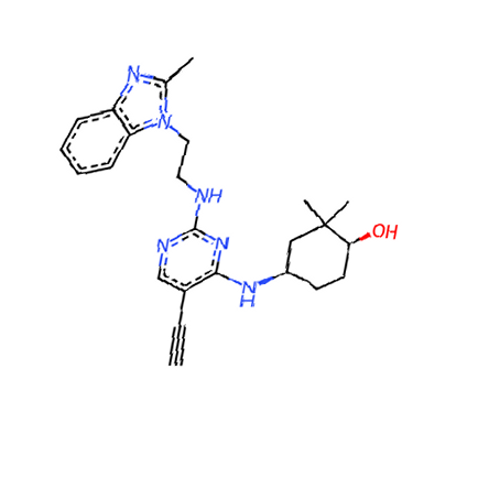 C#Cc1cnc(NCCn2c(C)nc3ccccc32)nc1N[C@@H]1CC[C@H](O)C(C)(C)C1